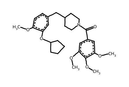 COc1ccc(CC2CCN(C(=O)c3cc(OC)c(OC)c(OC)c3)CC2)cc1OC1CCCC1